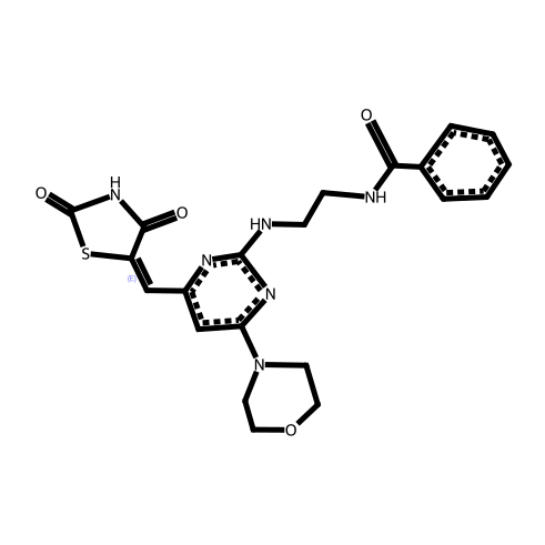 O=C1NC(=O)/C(=C\c2cc(N3CCOCC3)nc(NCCNC(=O)c3ccccc3)n2)S1